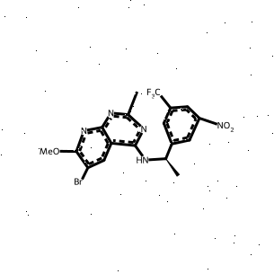 COc1nc2nc(C)nc(N[C@H](C)c3cc([N+](=O)[O-])cc(C(F)(F)F)c3)c2cc1Br